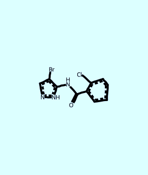 O=C(Nc1[nH]ncc1Br)c1ccccc1Cl